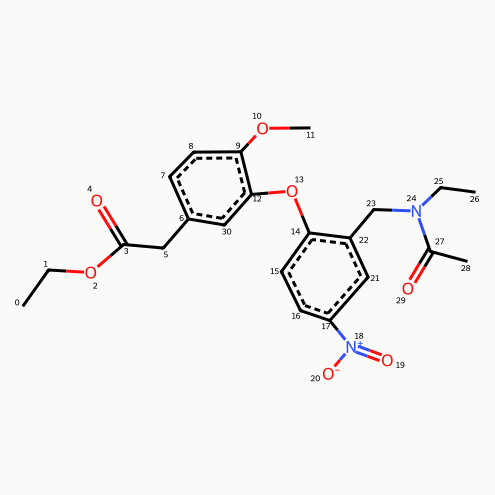 CCOC(=O)Cc1ccc(OC)c(Oc2ccc([N+](=O)[O-])cc2CN(CC)C(C)=O)c1